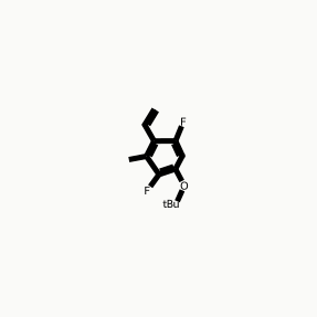 C=Cc1c(F)cc(OC(C)(C)C)c(F)c1C